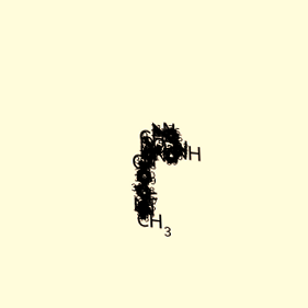 COC[C@]1(C(=O)Nc2ccc3[nH]nc(-c4ccnc(C5CC5)c4)c3c2)CCN(CC(=O)N2CC=C(c3ccc(-c4ncc(C)cn4)c(F)c3)CC2)C1